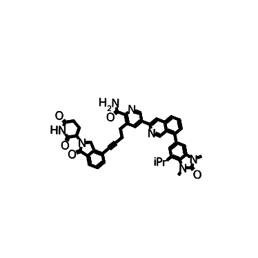 CC(C)c1cc(-c2cccc3cc(-c4cnc(C(N)=O)c(CCC#Cc5cccc6c5CN(C5CCC(=O)NC5=O)C6=O)c4)ncc23)cc2c1n(C)c(=O)n2C